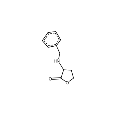 O=C1OCCC1NCc1ccccc1